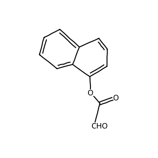 O=CC(=O)Oc1cccc2ccccc12